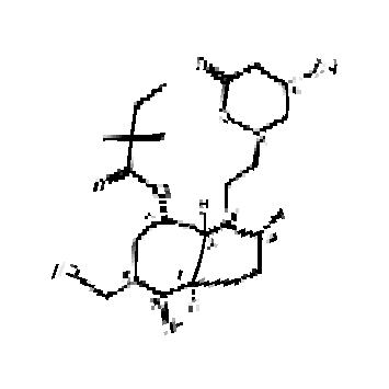 CCC(C)(C)C(=O)O[C@H]1C[C@H](CO)[C@H](O)[C@@H]2CC[C@H](C)[C@H](CC[C@@H]3C[C@@H](O)CC(=O)O3)[C@H]21